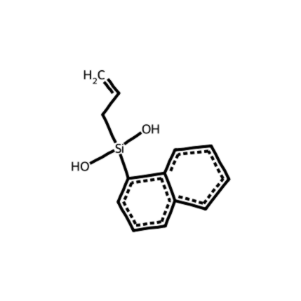 C=CC[Si](O)(O)c1cccc2ccccc12